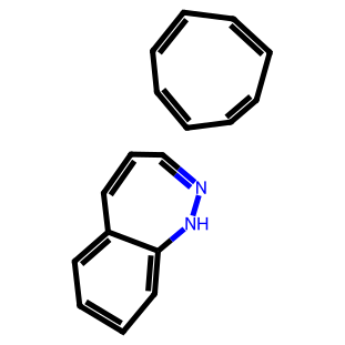 C1=CC=CC=CC=C1.C1=Cc2ccccc2NN=C1